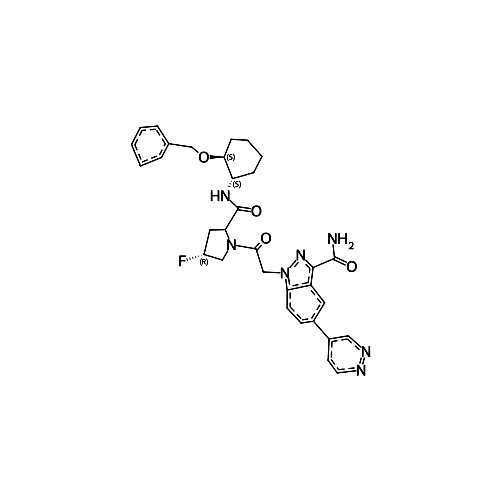 NC(=O)c1nn(CC(=O)N2C[C@H](F)CC2C(=O)N[C@H]2CCCC[C@@H]2OCc2ccccc2)c2ccc(-c3ccnnc3)cc12